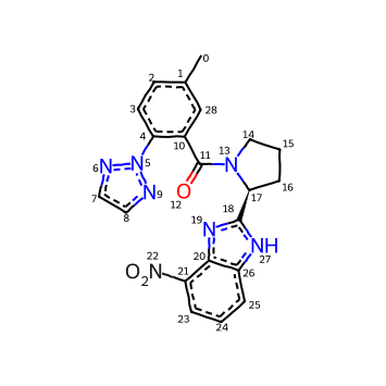 Cc1ccc(-n2nccn2)c(C(=O)N2CCC[C@H]2c2nc3c([N+](=O)[O-])cccc3[nH]2)c1